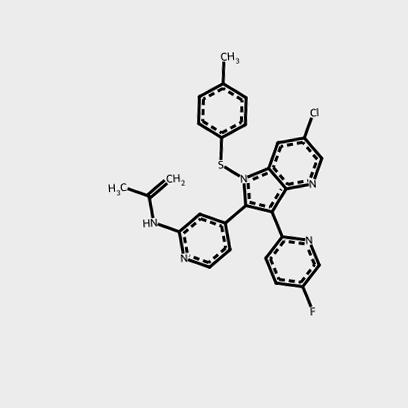 C=C(C)Nc1cc(-c2c(-c3ccc(F)cn3)c3ncc(Cl)cc3n2Sc2ccc(C)cc2)ccn1